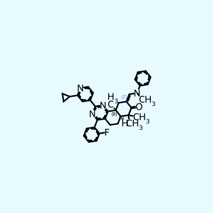 CN(/C=C1/C[C@@]2(C)c3nc(-c4ccnc(C5CC5)c4)nc(-c4ccccc4F)c3CC[C@@H]2C(C)(C)C1=O)c1ccccc1